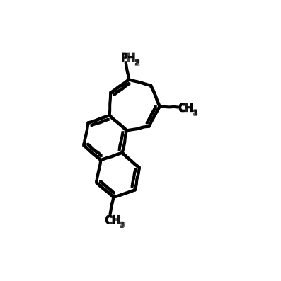 CC1=Cc2c(ccc3cc(C)ccc23)C=C(P)C1